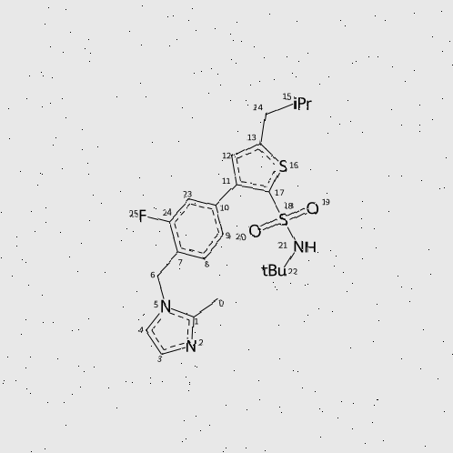 Cc1nccn1Cc1ccc(-c2cc(CC(C)C)sc2S(=O)(=O)NC(C)(C)C)cc1F